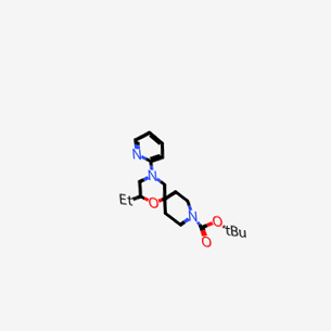 CCC1CN(c2ccccn2)CC2(CCN(C(=O)OC(C)(C)C)CC2)O1